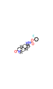 CN1C(=O)C=C[C@]2(C)[C@H]3CC[C@]4(C)[C@@H](NC(=O)Oc5ccccc5F)CC[C@H]4[C@@H]3CC[C@@H]12